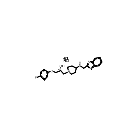 Cl.Cl.O[C@@H](COc1ccc(F)cc1)CN1CCC(NCc2nc3ccccc3s2)CC1